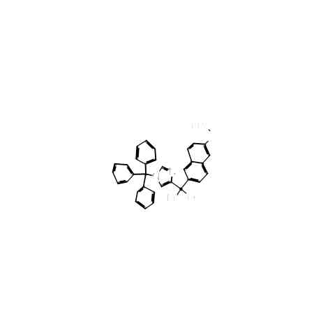 CCCOc1ccc2cc(C(O)(c3cn(C(c4ccccc4)(c4ccccc4)c4ccccc4)cn3)C(C)C)ccc2c1